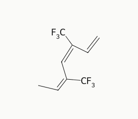 C=C/C(=C\C(=C/C)C(F)(F)F)C(F)(F)F